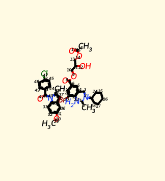 CCN(Cc1cc(C(=O)OCC(O)COC(C)=O)cc(Br)c1N)C1CCCCC1.COc1ccc2c(c1)cc(C)n2C(=O)c1ccc(Cl)cc1